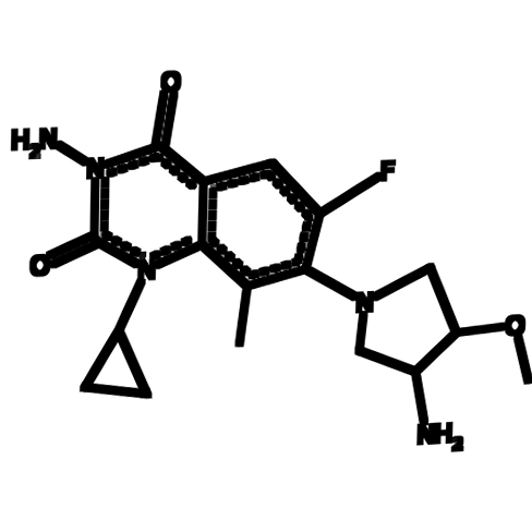 COC1CN(c2c(F)cc3c(=O)n(N)c(=O)n(C4CC4)c3c2C)CC1N